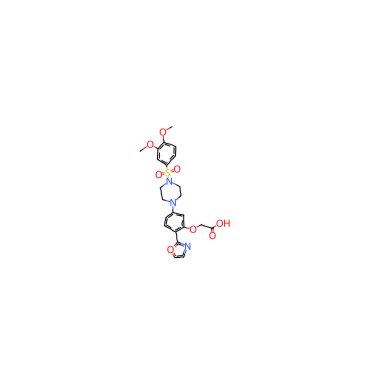 COc1ccc(S(=O)(=O)N2CCN(c3ccc(-c4ncco4)c(OCC(=O)O)c3)CC2)cc1OC